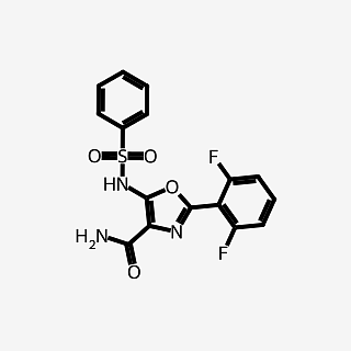 NC(=O)c1nc(-c2c(F)cccc2F)oc1NS(=O)(=O)c1ccccc1